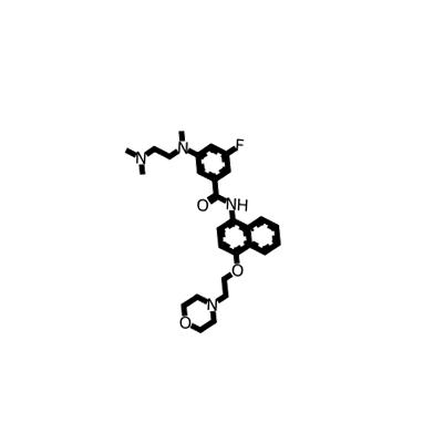 CN(C)CCN(C)c1cc(F)cc(C(=O)Nc2ccc(OCCN3CCOCC3)c3ccccc23)c1